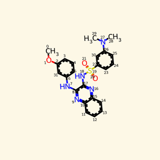 COc1cccc(Nc2nc3ccccc3nc2NS(=O)(=O)c2cccc(N(C)C)c2)c1